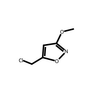 COc1cc(CCl)on1